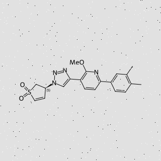 COc1nc(-c2ccc(C)c(C)c2)ccc1-c1cn([C@H]2C=CS(=O)(=O)C2)nn1